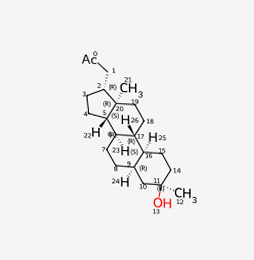 CC(=O)C[C@H]1CC[C@H]2[C@@H]3CC[C@@H]4C[C@](C)(O)CC[C@@H]4[C@H]3CC[C@]12C